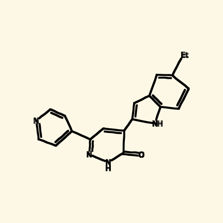 CCc1ccc2[nH]c(-c3cc(-c4ccncc4)n[nH]c3=O)cc2c1